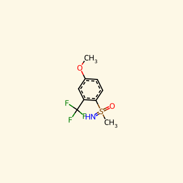 COc1ccc(S(C)(=N)=O)c(C(F)(F)F)c1